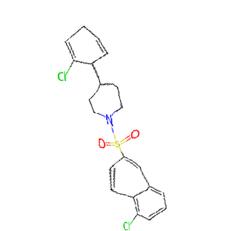 O=S(=O)(c1ccc2c(Cl)cccc2c1)N1CCC(C2C=CCC=C2Cl)CC1